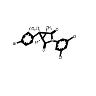 CCOC(=O)[C@@]1(c2ccc(Br)cc2)[C@@H]2C(=O)N(c3cc(Cl)cc(Cl)c3)C(=O)[C@@]21C